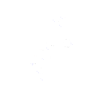 N=C(N)NC(CO)CSc1cnccc1SC1=C(C(=O)O)N2C(=O)[C@@H](NC(=O)/C(=N\O)c3csc(N)n3)[C@@H]2SC1